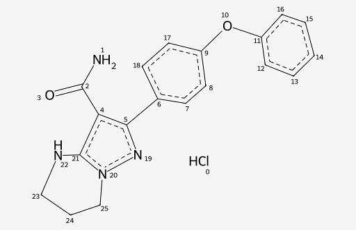 Cl.NC(=O)c1c(-c2ccc(Oc3ccccc3)cc2)nn2c1NCCC2